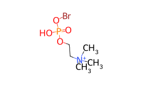 C[N+](C)(C)CCOP(=O)(O)OBr